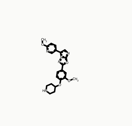 COc1ccc(-c2cnc3oc(-c4ccc(OC5CCNCC5)c(OC)c4)nn23)cn1